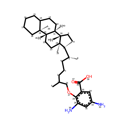 CC(CCC[C@@H](C)[C@H]1CC[C@H]2[C@@H]3CCC4CCCC[C@]4(C)[C@H]3CC[C@]12C)COc1c(N)cc(N)cc1C(=O)O